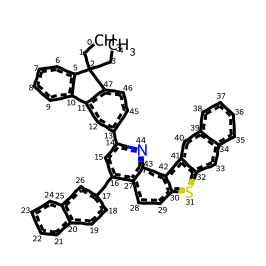 CCC1(CC)c2ccccc2-c2cc(-c3cc(-c4ccc5ccccc5c4)c4ccc5sc6cc7ccccc7cc6c5c4n3)ccc21